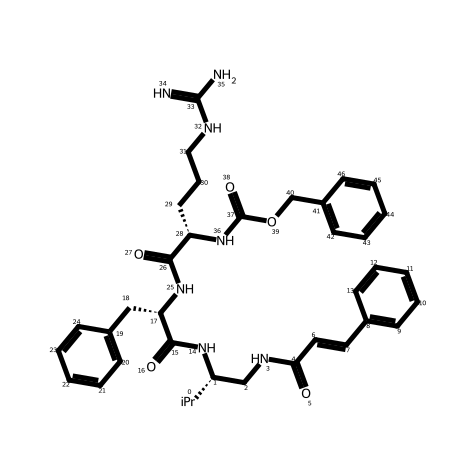 CC(C)[C@@H](CNC(=O)/C=C/c1ccccc1)NC(=O)[C@H](Cc1ccccc1)NC(=O)[C@H](CCCNC(=N)N)NC(=O)OCc1ccccc1